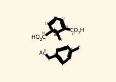 CC(=O)Cc1ccc(C)cc1.Cc1c(C(=O)O)cccc1C(=O)O